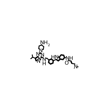 CC(C)c1cnn2c(NCc3cccc(-c4cc5cc(NC(=O)/C=C/CN(C)C)ccc5[nH]4)c3)nc(N3CCC(N)CC3)nc12